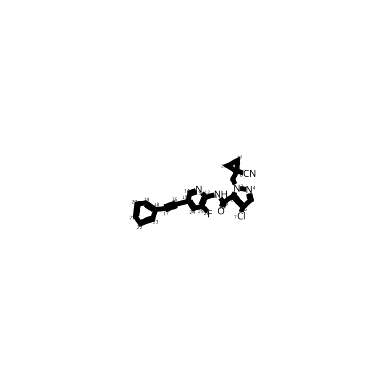 N#CC1(Cn2ncc(Cl)c2C(=O)Nc2ncc(C#Cc3ccccc3)cc2F)CC1